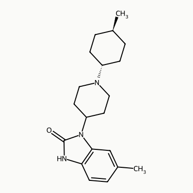 Cc1ccc2[nH]c(=O)n(C3CCN([C@H]4CC[C@H](C)CC4)CC3)c2c1